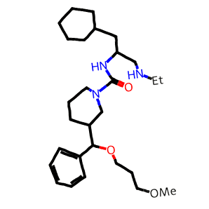 CCNCC(CC1CCCCC1)NC(=O)N1CCCC(C(OCCCOC)c2ccccc2)C1